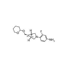 Nc1ccc(N2C[C@@H]3[C@@H](COC4CCCCO4)[C@@H]3C2)c(F)c1